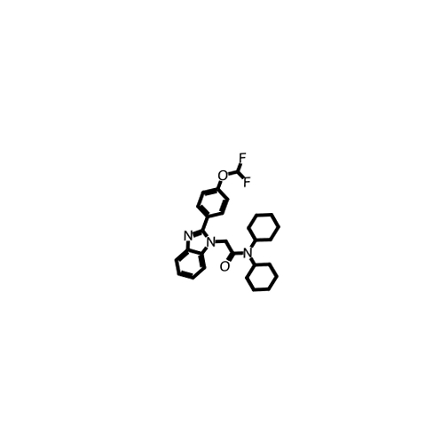 O=C(Cn1c(-c2ccc(OC(F)F)cc2)nc2ccccc21)N(C1CCCCC1)C1CCCCC1